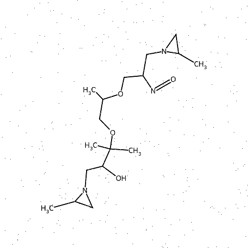 CC(COC(C)(C)C(O)CN1CC1C)OCC(CN1CC1C)N=O